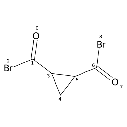 O=C(Br)C1CC1C(=O)Br